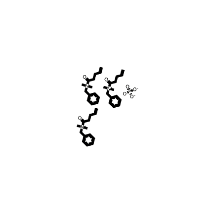 C=CCCC(=O)[N+](C)(C)Cc1ccccc1.C=CCCC(=O)[N+](C)(C)Cc1ccccc1.C=CCCC(=O)[N+](C)(C)Cc1ccccc1.O=P([O-])([O-])[O-]